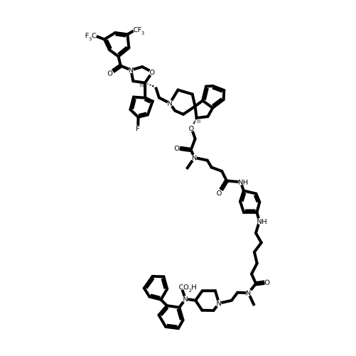 CN(CCN1CCC(N(C(=O)O)c2ccccc2-c2ccccc2)CC1)C(=O)CCCCCNc1ccc(NC(=O)CCCN(C)C(=O)CO[C@H]2Cc3ccccc3C23CCN(CC[C@]2(c4ccc(F)cc4)CN(C(=O)c4cc(C(F)(F)F)cc(C(F)(F)F)c4)CO2)CC3)cc1